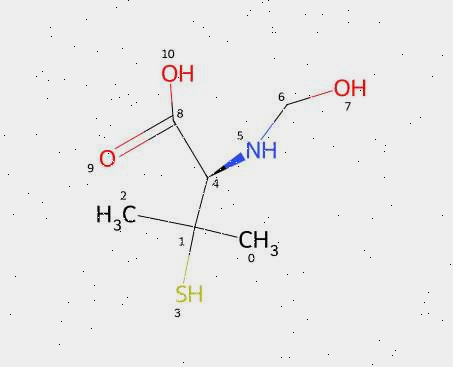 CC(C)(S)[C@H](NCO)C(=O)O